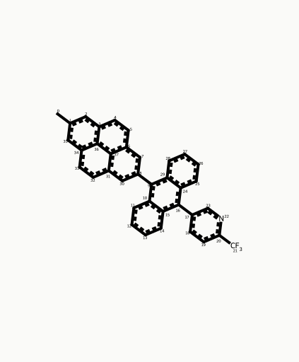 Cc1cc2ccc3cc(-c4c5ccccc5c(-c5ccc(C(F)(F)F)nc5)c5ccccc45)cc4ccc(c1)c2c34